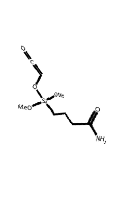 CO[Si](CCCC(N)=O)(OC)OC=C=O